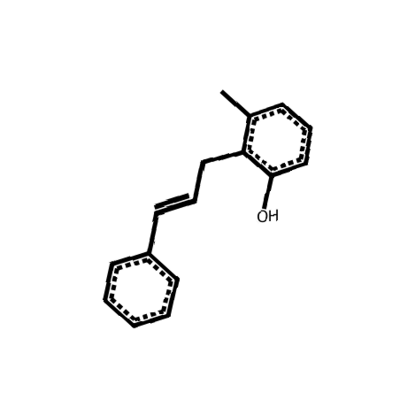 Cc1cccc(O)c1CC=Cc1ccccc1